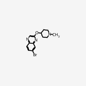 CN1CCC(Oc2cnc3ccc(Br)cc3n2)CC1